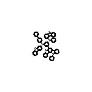 c1ccc(-c2ccc(N(c3cc(-c4cc5c6ccccc6n(-c6ccccc6)c5c5c4sc4ccccc45)cc(N(c4ccccc4)c4cccc5sc6ccccc6c45)c3)c3ccc4c(c3)sc3ccccc34)cc2)cc1